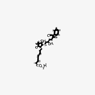 CC1(C)C(=O)[C@H](CC=CCCCC(=O)O)[C@@H](/C=C/[C@H](O)CCc2sc3ccccc3c2Cl)[C@@H]1O